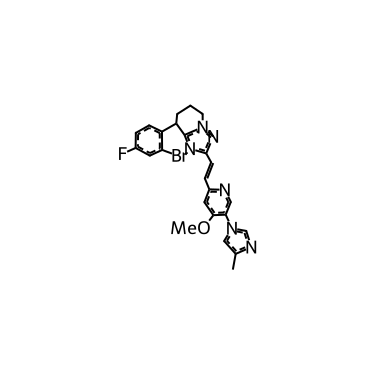 COc1cc(C=Cc2nc3n(n2)CCCC3c2ccc(F)cc2Br)ncc1-n1cnc(C)c1